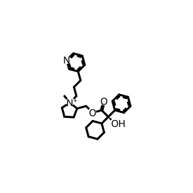 C[N+]1(CCCc2cccnc2)CCCC1COC(=O)[C@](O)(c1ccccc1)C1CCCCC1